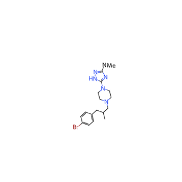 CNc1n[nH]c(N2CCN(CC(C)Cc3ccc(Br)cc3)CC2)n1